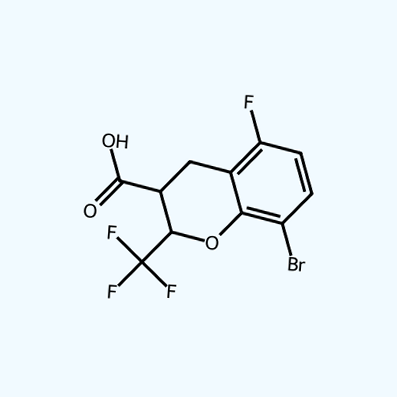 O=C(O)C1Cc2c(F)ccc(Br)c2OC1C(F)(F)F